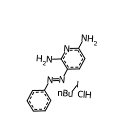 CCCCI.Cl.Nc1ccc(/N=N/c2ccccc2)c(N)n1